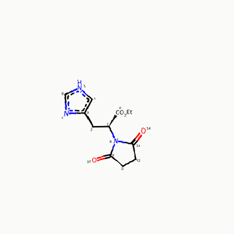 CCOC(=O)[C@H](Cc1c[nH]cn1)N1C(=O)CCC1=O